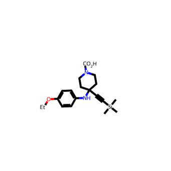 CCOc1ccc(NC2(C#C[Si](C)(C)C)CCN(C(=O)O)CC2)cc1